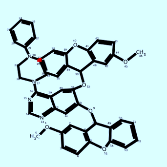 COc1ccc2c(c1)C(Oc1cc3ncnc(N4CCN(c5ccccc5)CC4)c3cc1OC1c3ccccc3Oc3ccc(OC)cc31)c1ccccc1O2